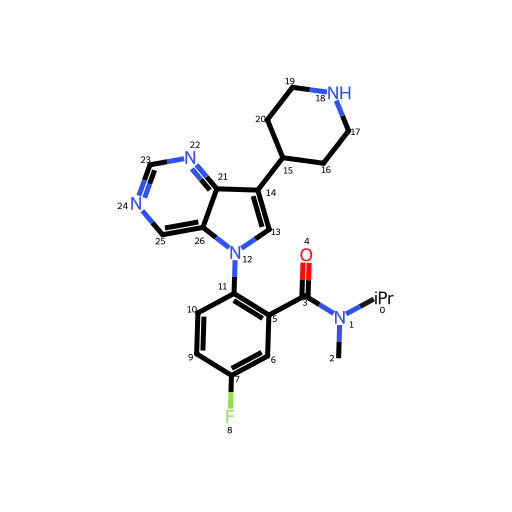 CC(C)N(C)C(=O)c1cc(F)ccc1-n1cc(C2CCNCC2)c2ncncc21